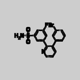 NS(=O)(=O)c1cc(F)cc(-c2ncccc2-c2cccc(Br)c2)c1